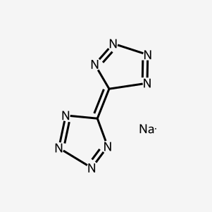 N1=NC(=C2N=NN=N2)N=N1.[Na]